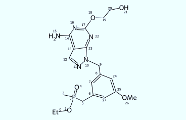 CCOP(C)(=O)Cc1cc(Cn2ncc3c(N)nc(OCCO)nc32)cc(OC)c1